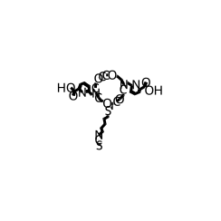 O=C(O)c1cccc(CN2CCOCCOCCN(Cc3cccc(C(=O)O)n3)CCO[C@H](CSCCCCCN=C=S)COCC2)n1